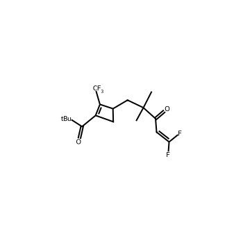 CC(C)(C)C(=O)C1=C(C(F)(F)F)C(CC(C)(C)C(=O)C=C(F)F)C1